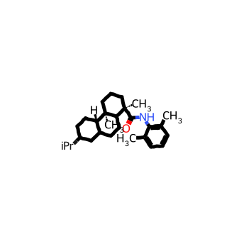 Cc1cccc(C)c1NC(=O)[C@]1(C)CCC[C@@]2(C)C1CCC1CC(C(C)C)CC[C@@H]12